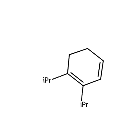 CC(C)C1=C(C(C)C)CCC=C1